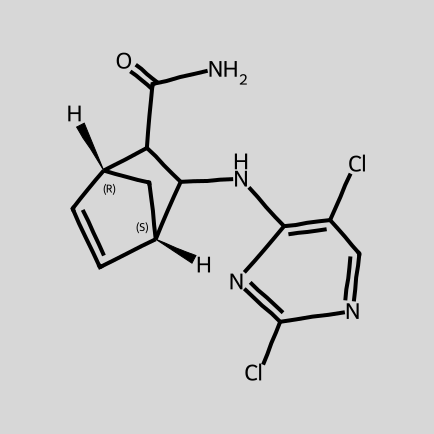 NC(=O)C1C(Nc2nc(Cl)ncc2Cl)[C@@H]2C=C[C@H]1C2